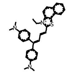 CC[n+]1c(C=CC=C(c2ccc(N(C)C)cc2)c2ccc(N(C)C)cc2)sc2c3ccccc3ccc21